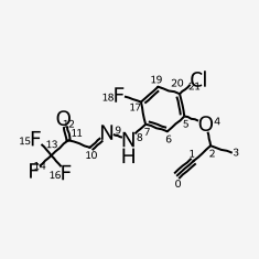 C#CC(C)Oc1cc(NN=CC(=O)C(F)(F)F)c(F)cc1Cl